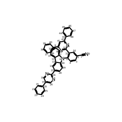 N#Cc1ccc(-n2c3ccccc3c3cc(-c4ncc(-c5ccccc5)cn4)ccc32)c(-c2nc(-c3ccccc3)cc(-c3ccccc3)n2)c1